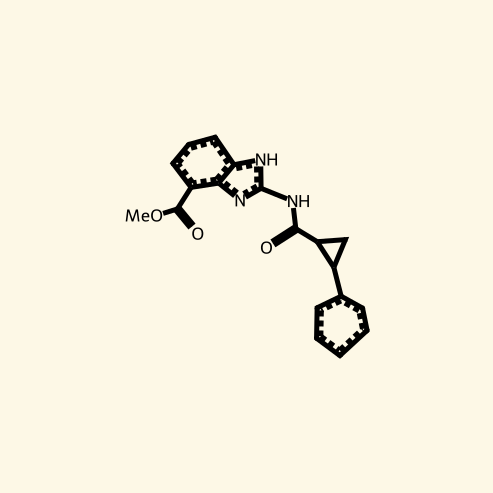 COC(=O)c1cccc2[nH]c(NC(=O)C3CC3c3ccccc3)nc12